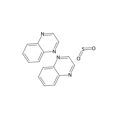 O=S=O.c1ccc2nccnc2c1.c1ccc2nccnc2c1